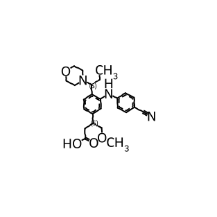 CC[C@@H](c1ccc([C@@H](COC)CC(=O)O)cc1Nc1ccc(C#N)cc1)N1CCOCC1